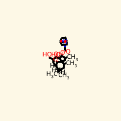 CC1=CC23C(=O)[C@@H](C=C(CO)[C@@H](O)[C@]2(O)[C@H]1OC(=O)N1CC2CCC(CC2)C1)[C@@H]1[C@@H](CC3C)C1(C)C